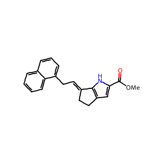 COC(=O)c1cc2c([nH]1)C(=CCc1cccc3ccccc13)CC2